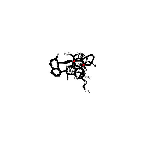 CCSc1nc2c3c(nc(-c4cccc5ccc(F)c(C#C[Si](C(C)C)(C(C)C)C(C)C)c45)c(F)c3n1)C[C@H](C)[C@H]1[C@@H]3CC[C@H](CN21)N3C(=O)OC(C)(C)C